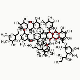 CC1C(O)[C@H](O[C@@H]2OC(CO[C@]3(C(=O)O)C[C@@H](O)[C@@H](N)C([C@H](O)[C@H](O)CO)O3)[C@H](O)C(O)[C@@H]2O)[C@H](CO)O[C@H]1O[C@@H]1C(O)[C@H](O)C(CO)O[C@@H]1OCC1O[C@@H](O[C@@H]2C(CO)O[C@@H](O[C@@H]3C(CO[C@@H]4O[C@@H](C)[C@@H](O)C(O)C4O)O[C@@H](C)[C@@H](C)C3O)[C@@H](C)C2O)[C@H](O)C(O[C@H]2O[C@H](CO)[C@@H](O)C(O)C2O[C@@H]2OC(CO)[C@@H](OC3OC(CO[C@]4(C(=O)O)C[C@@H](O)[C@@H](N)C([C@H](O)[C@H](O)CO)O4)[C@H](O)[C@H](O)C3O)C(O)[C@@H]2C)[C@@H]1O